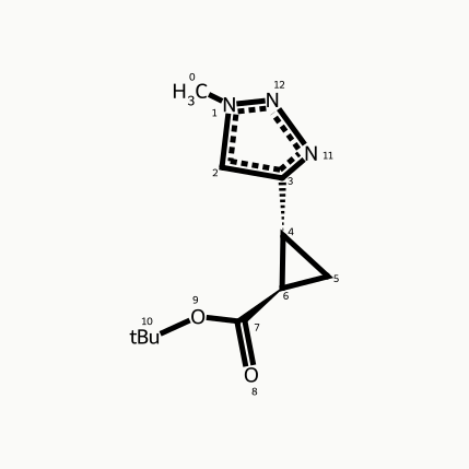 Cn1cc([C@@H]2C[C@H]2C(=O)OC(C)(C)C)nn1